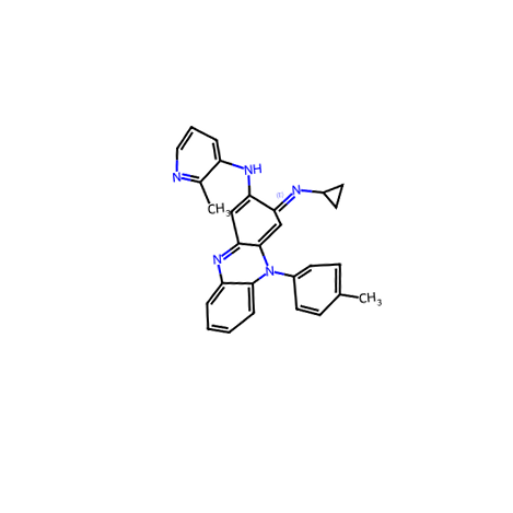 Cc1ccc(-n2c3c/c(=N\C4CC4)c(Nc4cccnc4C)cc-3nc3ccccc32)cc1